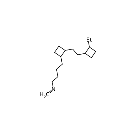 C=NCCCCC1CCC1CCC1CCC1CC